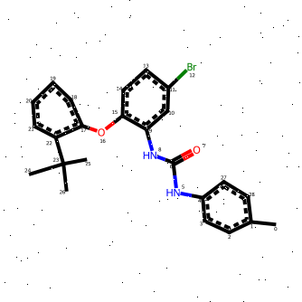 Cc1ccc(NC(=O)Nc2cc(Br)ccc2Oc2ccccc2C(C)(C)C)cc1